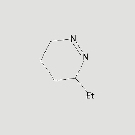 CCC1CCCN=N1